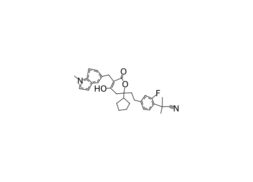 Cn1ccc2cc(CC3=C(O)CC(CCc4ccc(C(C)(C)C#N)c(F)c4)(C4CCCC4)OC3=O)ccc21